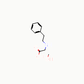 O=C(O)[C@@H](CO)NCCc1ccccc1